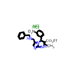 CCOC(=O)C1=C(C)Nc2ncc(CNCc3ccccc3)n2C1c1cccc([N+](=O)[O-])c1.Cl.Cl